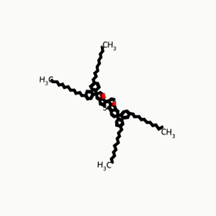 CCCCCCCCCCCCc1ccc(C2(c3ccc(CCCCCCCCCCCC)cc3)C=CC3=C4SC5=CC6=CC(c7ccc(CCCCCCCCCCCC)cc7)(c7ccc(CCCCCCCCCCCC)cc7)CC7=CC=CC67C5=C5C=CSC54CC3=C2)cc1